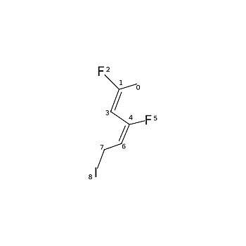 C/C(F)=C\C(F)=C/CI